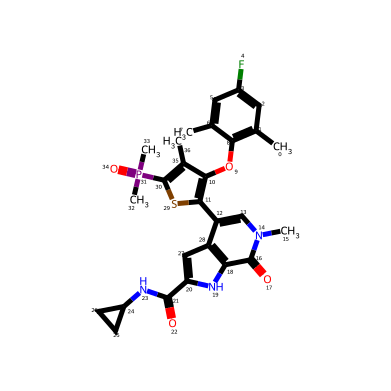 Cc1cc(F)cc(C)c1Oc1c(-c2cn(C)c(=O)c3[nH]c(C(=O)NC4CC4)cc23)sc(P(C)(C)=O)c1C